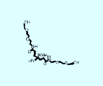 C#CCOCCOCCNC(=O)CCC(CCC)(CCC(=O)NCCOCCOCC#C)NC